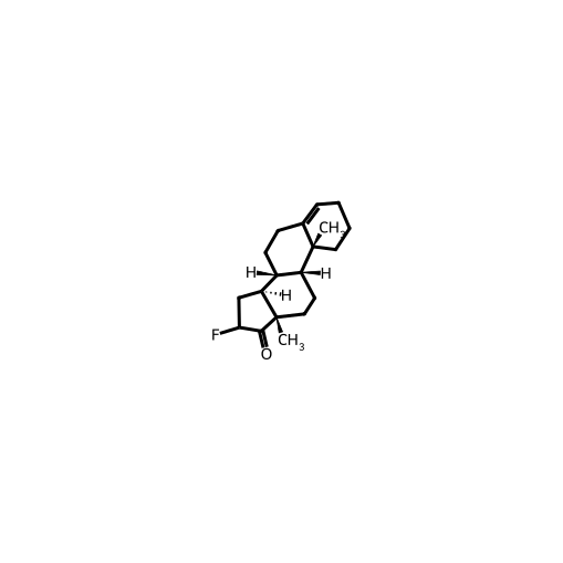 C[C@]12CCCC=C1CC[C@@H]1[C@H]2CC[C@]2(C)C(=O)C(F)C[C@@H]12